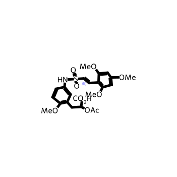 COc1cc(OC)c(/C=C/S(=O)(=O)Nc2ccc(OC)c(CC(OC(C)=O)C(=O)O)c2)c(OC)c1